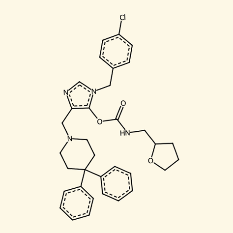 O=C(NCC1CCCO1)Oc1c(CN2CCC(c3ccccc3)(c3ccccc3)CC2)ncn1Cc1ccc(Cl)cc1